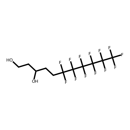 OCCC(O)CCC(F)(F)C(F)(F)C(F)(F)C(F)(F)C(F)(F)C(F)(F)F